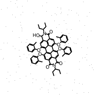 CCC(CC)N1C(=O)c2cc(Oc3ccccc3C)c3c4c(Oc5ccccc5C)cc5c6c(cc(Oc7ccccc7C)c(c7c(Oc8ccccc8C)cc(c2c37)C1=O)c64)C(O)N(C(CC)CC)C5=O